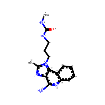 CCCCNC(=O)NCCCn1c(CCCC)nc2c(N)nc3ccccc3c21